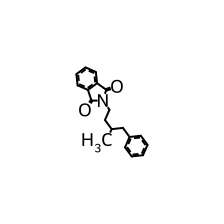 CC(CCN1C(=O)c2ccccc2C1=O)Cc1ccccc1